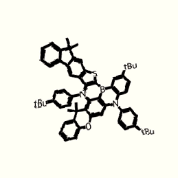 CC(C)(C)c1ccc(N2c3ccc(C(C)(C)C)cc3B3c4sc5cc6c(cc5c4N(c4ccc(C(C)(C)C)cc4)c4c3c2cc2c4C(C)(C)c3ccccc3O2)-c2ccccc2C6(C)C)cc1